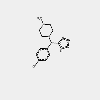 CN1CCN(C(c2ccc(Cl)cc2)c2nnn[nH]2)CC1